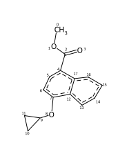 COC(=O)c1ccc(OC2CC2)c2ccccc12